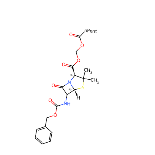 CCCCCC(=O)OCOC(=O)[C@@H]1N2C(=O)C(NC(=O)OCc3ccccc3)[C@H]2SC1(C)C